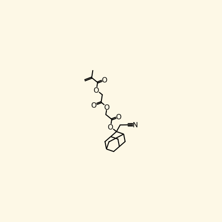 C=C(C)C(=O)OCC(=O)OCC(=O)OC1(CC#N)C2CC3CC(C2)CC1C3